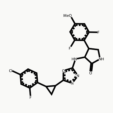 COc1cc(F)c(C2CNC(=O)C2Nc2nnc(C3CC3c3ccc(Cl)cc3F)o2)c(F)c1